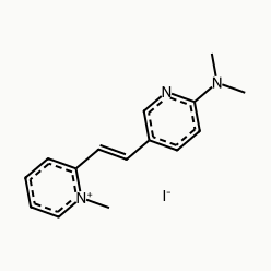 CN(C)c1ccc(/C=C/c2cccc[n+]2C)cn1.[I-]